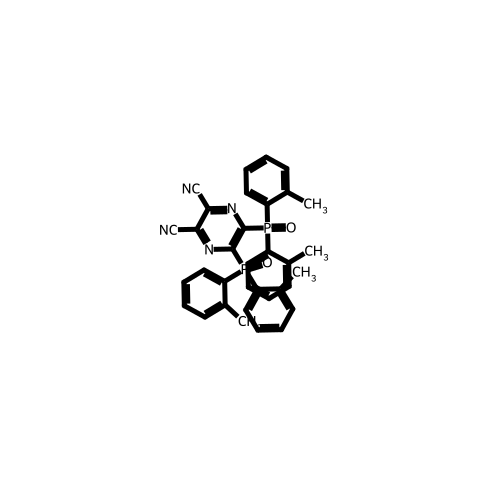 Cc1ccccc1P(=O)(c1ccccc1C)c1nc(C#N)c(C#N)nc1P(=O)(c1ccccc1C)c1ccccc1C